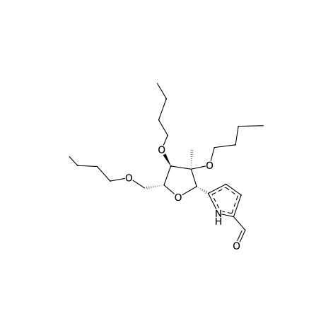 CCCCOC[C@H]1O[C@@H](c2ccc(C=O)[nH]2)[C@](C)(OCCCC)[C@@H]1OCCCC